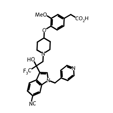 [C-]#[N+]c1ccc2c(C(O)(CN3CCC(Oc4ccc(CC(=O)O)cc4OC)CC3)C(F)(F)F)cn(Cc3ccncc3)c2c1